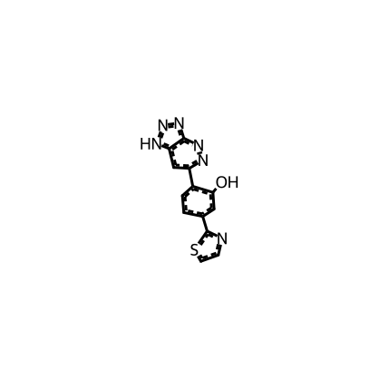 Oc1cc(-c2nccs2)ccc1-c1cc2[nH]nnc2nn1